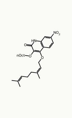 CCCCCCCCOc1c(OCC=C(C)CCC=C(C)C)c2ccc([N+](=O)[O-])cc2[nH]c1=O